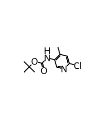 Cc1cc(Cl)ncc1NC(=O)OC(C)(C)C